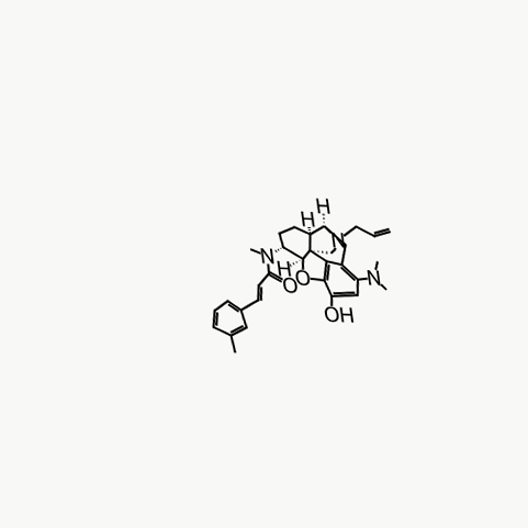 C=CCN1CC[C@]23c4c5c(N(C)C)cc(O)c4O[C@H]2[C@H](N(C)C(=O)C=Cc2cccc(C)c2)CC[C@H]3[C@H]1C5